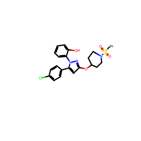 CC(C)S(=O)(=O)N1CCC(Oc2cc(-c3ccc(Cl)cc3)n(-c3ccccc3O)n2)CC1